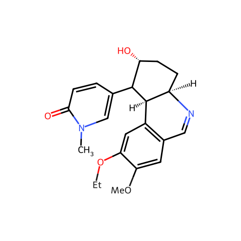 CCOc1cc2c(cc1OC)C=N[C@@H]1CC[C@@H](O)C(c3ccc(=O)n(C)c3)[C@H]21